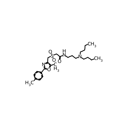 CCCCN(CCCC)CCCNC(=O)CS(=O)(=O)Cc1nc(-c2ccc(C)cc2)oc1C